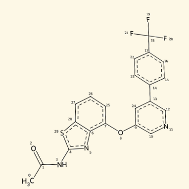 CC(=O)Nc1nc2c(Oc3cncc(-c4ccc(C(F)(F)F)cc4)c3)cccc2s1